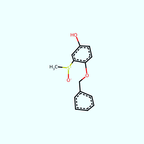 C[S+]([O-])c1cc(O)ccc1OCc1ccccc1